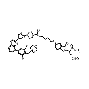 NC(=O)C(CCC=O)N1Cc2ccc(OCCCCCC(=O)N3CCC(n4cc(-c5cnc6cccc(-c7cc(F)c(CN8CCOCC8)c(F)c7)c6n5)cn4)CC3)cc2C1=O